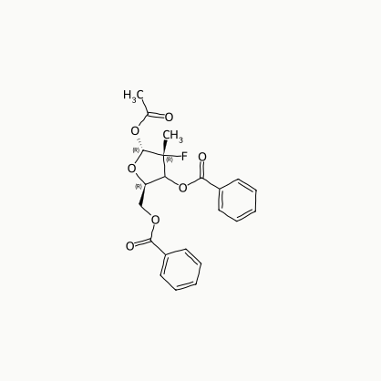 CC(=O)O[C@H]1O[C@H](COC(=O)c2ccccc2)C(OC(=O)c2ccccc2)[C@@]1(C)F